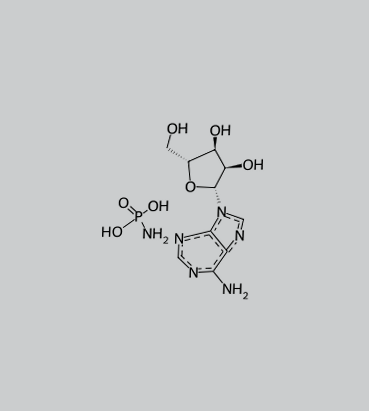 NP(=O)(O)O.Nc1ncnc2c1ncn2[C@@H]1O[C@H](CO)[C@@H](O)[C@H]1O